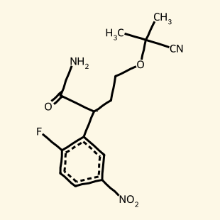 CC(C)(C#N)OCC[C](C(N)=O)c1cc([N+](=O)[O-])ccc1F